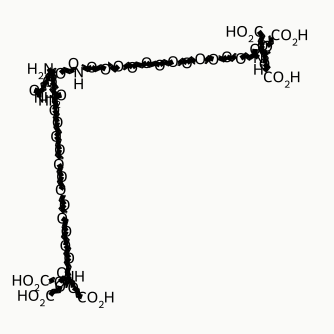 NC(=O)CCOCC(N)(COCCC(=O)NCCOCCOCCOCCOCCOCCOCCOCCOCCOCCOCCOCCOCCC(=O)NC(COCCC(=O)O)(COCCC(=O)O)COCCC(=O)O)COCCC(=O)NCOCCOCCOCCOCCOCCOCCOCCOCCOCCOCCOCCOCCC(=O)NC(COCCC(=O)O)(COCCC(=O)O)COCCC(=O)O